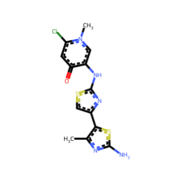 Cc1nc(N)sc1-c1csc(Nc2cn(C)c(Cl)cc2=O)n1